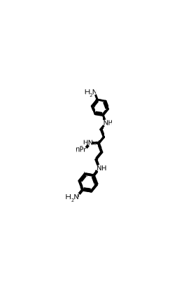 CCCNC(CCNc1ccc(N)cc1)CCNc1ccc(N)cc1